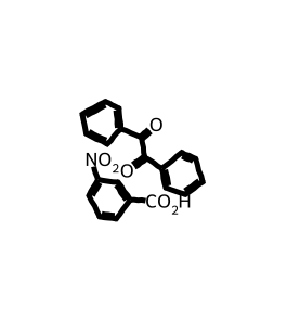 O=C(C(=O)c1ccccc1)c1ccccc1.O=C(O)c1cccc([N+](=O)[O-])c1